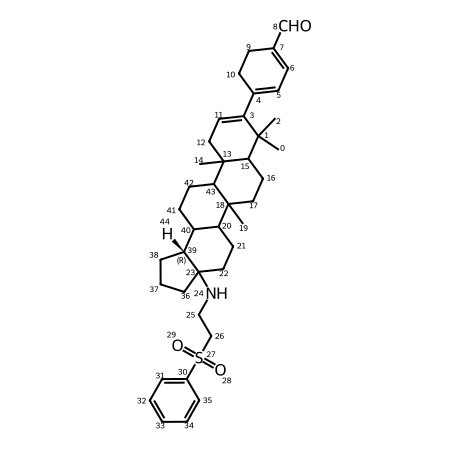 CC1(C)C(C2=CC=C(C=O)CC2)=CCC2(C)C1CCC1(C)C3CCC4(NCCS(=O)(=O)c5ccccc5)CCC[C@@H]4C3CCC12